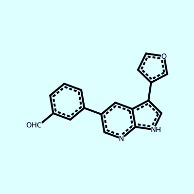 O=Cc1cccc(-c2cnc3[nH]cc(-c4ccoc4)c3c2)c1